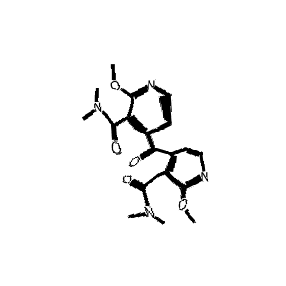 COc1nccc(C(=O)c2ccnc(OC)c2C(=O)N(C)C)c1C(=O)N(C)C